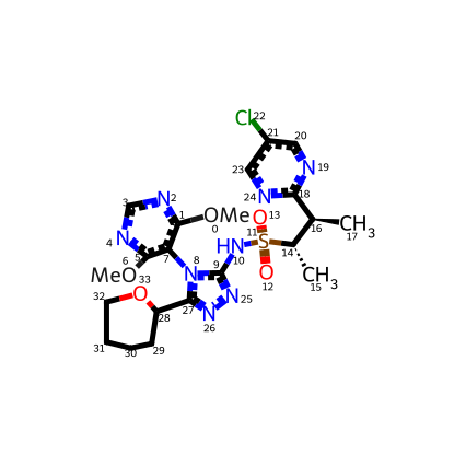 COc1ncnc(OC)c1-n1c(NS(=O)(=O)[C@@H](C)[C@H](C)c2ncc(Cl)cn2)nnc1C1CCCCO1